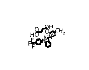 CN1CCN(c2nn(-c3ccc(C(F)(F)F)cc3)c3ccccc23)CC1.O=C(O)C=CC(=O)O